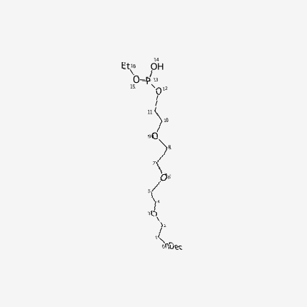 CCCCCCCCCCCCOCCOCCOCCOP(O)OCC